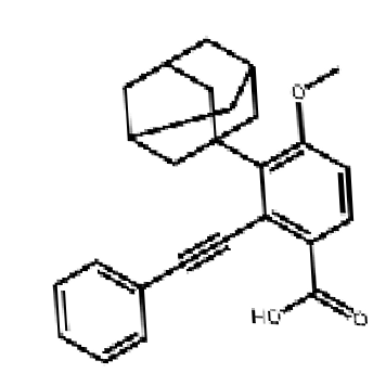 COc1ccc(C(=O)O)c(C#Cc2ccccc2)c1C12CC3CC(CC(C3)C1)C2